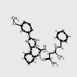 COc1cccc(-c2nc3c4ccccc4nc(N[C@@H](C(N)=O)[C@H](C)OCc4ccccc4)n3n2)c1